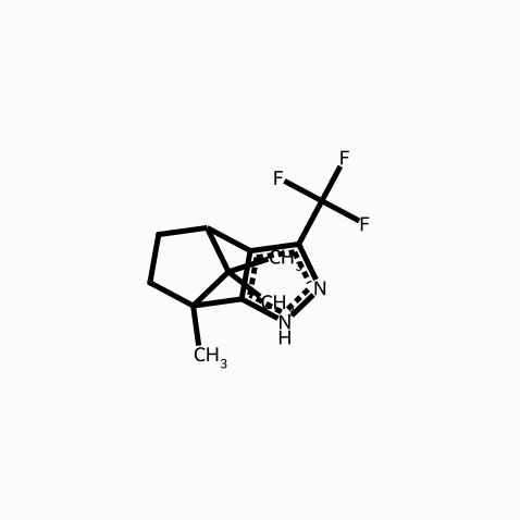 CC12CCC(c3c(C(F)(F)F)n[nH]c31)C2(C)C